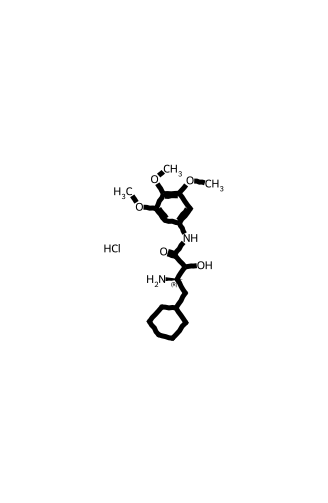 COc1cc(NC(=O)C(O)[C@H](N)CC2CCCCC2)cc(OC)c1OC.Cl